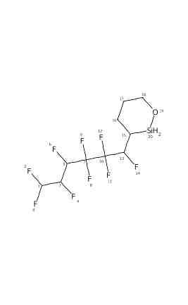 FC(F)C(F)C(F)C(F)(F)C(F)(F)C(F)C1CCCO[SiH2]1